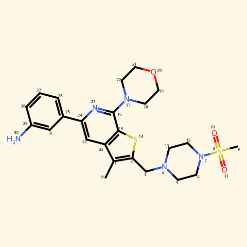 Cc1c(CN2CCN(S(C)(=O)=O)CC2)sc2c(N3CCOCC3)nc(-c3cccc(N)c3)cc12